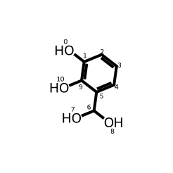 Oc1cccc(C(O)O)c1O